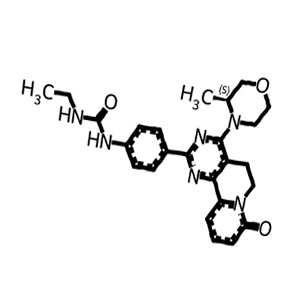 CCNC(=O)Nc1ccc(-c2nc3c(c(N4CCOC[C@@H]4C)n2)CCn2c-3cccc2=O)cc1